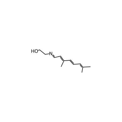 CC(C)=C/C=C/C(C)=C/C=N/CCO